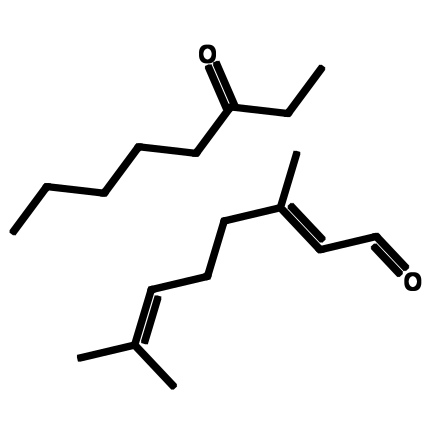 CC(C)=CCCC(C)=CC=O.CCCCCC(=O)CC